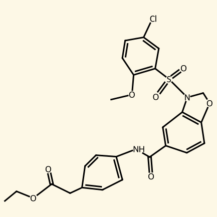 CCOC(=O)Cc1ccc(NC(=O)c2ccc3c(c2)N(S(=O)(=O)c2cc(Cl)ccc2OC)CO3)cc1